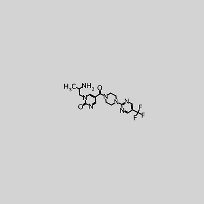 CC(N)Cn1cc(C(=O)N2CCN(c3ncc(C(F)(F)F)cn3)CC2)cnc1=O